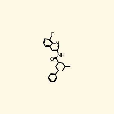 CC(C)CC(CCc1ccccc1)C(=O)Nc1cnc2c(F)cccc2c1